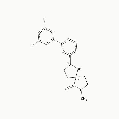 CN1CC[C@@]2(CC[C@@H](c3cccc(-c4cc(F)cc(F)c4)c3)N2)C1=O